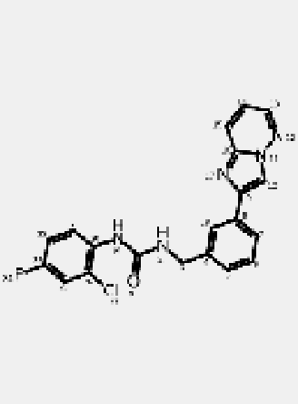 O=C(NCc1cccc(-c2cn3ncccc3n2)c1)Nc1ccc(F)cc1Cl